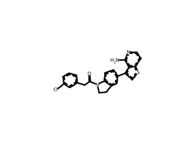 Nc1nccc2scc(-c3ccc4c(c3)CCN4C(=O)Cc3cccc(Cl)c3)c12